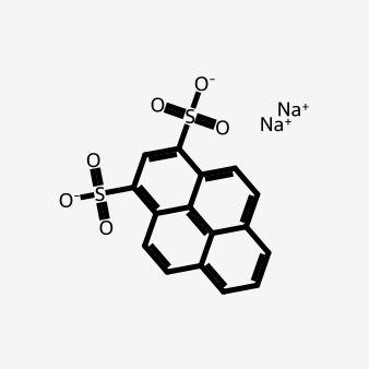 O=S(=O)([O-])c1cc(S(=O)(=O)[O-])c2ccc3cccc4ccc1c2c43.[Na+].[Na+]